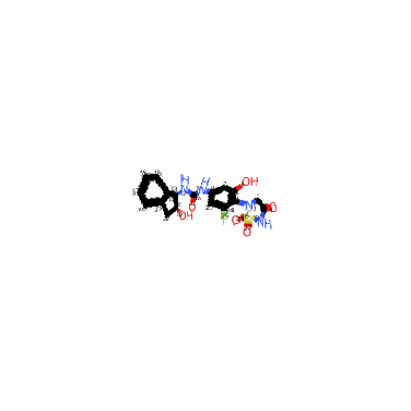 O=C1CN(c2c(O)cc(NC(=O)N[C@@H]3c4ccccc4C[C@@H]3O)cc2F)S(=O)(=O)N1